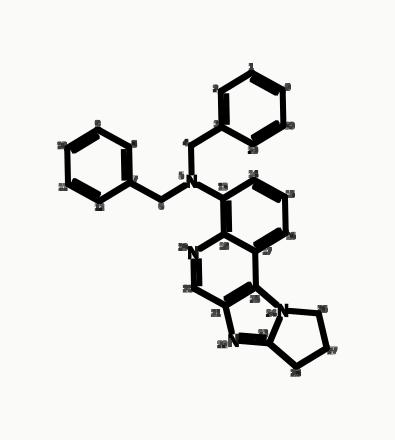 c1ccc(CN(Cc2ccccc2)c2cccc3c2ncc2nc4n(c23)CCC4)cc1